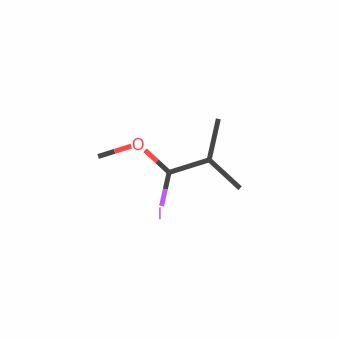 COC(I)C(C)C